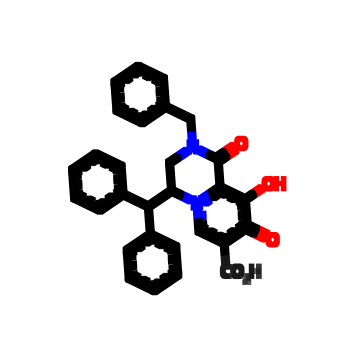 O=C(O)c1cn2c(c(O)c1=O)C(=O)N(Cc1ccccc1)CC2C(c1ccccc1)c1ccccc1